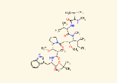 CCC(C)C(C(CC(=O)N1CCC[C@H]1C(OC)C(C)C(=O)NC(Cc1c[nH]c2ccccc12)C(=O)OC(C)(C)C)OC)N(C)C(=O)C(NC(=O)C(NC)C(C)C)C(C)C